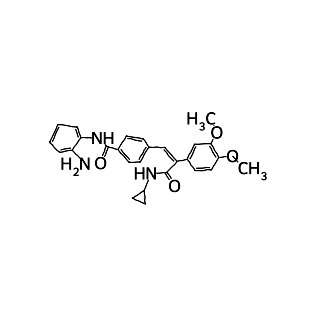 COc1ccc(C(=Cc2ccc(C(=O)Nc3ccccc3N)cc2)C(=O)NC2CC2)cc1OC